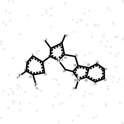 [CH2]c1c([CH2])c(-c2ccc(F)c(F)c2)n2c1Cc1c(n(C)c3ccccc13)C2